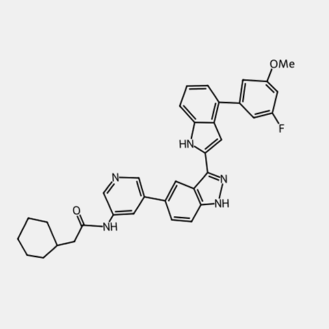 COc1cc(F)cc(-c2cccc3[nH]c(-c4n[nH]c5ccc(-c6cncc(NC(=O)CC7CCCCC7)c6)cc45)cc23)c1